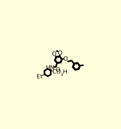 CC[C@H]1CC[C@](NC(=O)c2cc(OCCc3cccc(C)c3)c3c(c2)OCO3)(C(=O)O)CC1